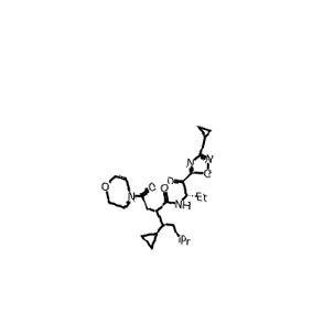 CC[C@H](NC(=O)C(CC(=O)N1CCOCC1)C(CC(C)C)C1CC1)C(=O)c1nc(C2CC2)no1